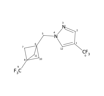 FC(F)(F)c1cnn(CC23CC(C(F)(F)F)(C2)C3)c1